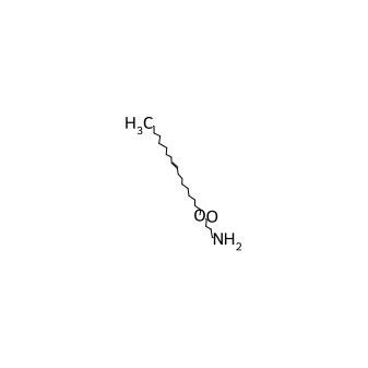 CCCCCCCCC=CCCCCCCCCOC(=O)CCCN